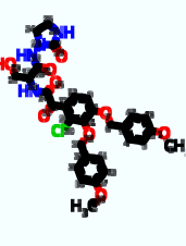 COc1ccc(COc2ccc(C(=O)C(=O)NC(CO)C(=O)NN3CCNC3=O)c(Cl)c2OCc2ccc(OC)cc2)cc1